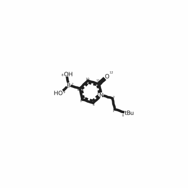 CC(C)(C)CCn1ccc(B(O)O)cc1=O